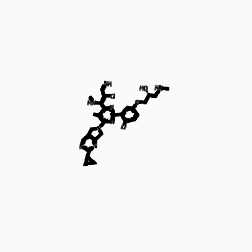 CNC[C@@H](O)COc1ccc(Cl)c(-c2nc(/C(NC)=C(\Cl)C=N)c(C)c(N3Cc4cnc(C5CC5)nc4C3)n2)c1